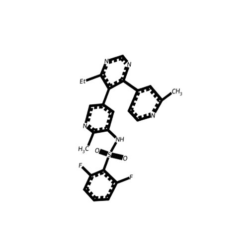 CCc1ncnc(-c2ccnc(C)c2)c1-c1cnc(C)c(NS(=O)(=O)c2c(F)cccc2F)c1